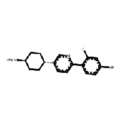 CCCCC[C@H]1CC[C@H](c2ccc(-c3ccc(CCC)cc3F)nc2)CC1